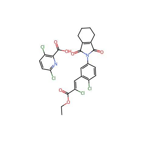 CCOC(=O)/C(Cl)=C/c1cc(N2C(=O)C3=C(CCCC3)C2=O)ccc1Cl.O=C(O)c1nc(Cl)ccc1Cl